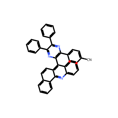 N#Cc1ccc(-c2nc(-c3ccccc3)c(-c3ccccc3)nc2-c2c3ccccc3nc3c2ccc2ccccc23)cc1